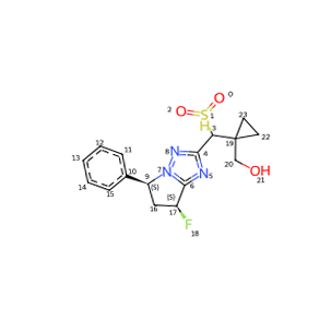 O=[SH](=O)C(c1nc2n(n1)[C@H](c1ccccc1)C[C@@H]2F)C1(CO)CC1